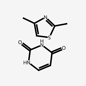 Cc1csc(C)n1.O=c1cc[nH]c(=O)[nH]1